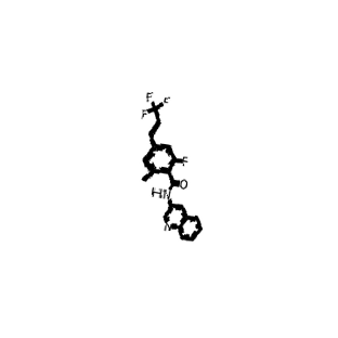 Cc1cc(/C=C/C(F)(F)F)cc(F)c1C(=O)Nc1cnc2ccccc2c1